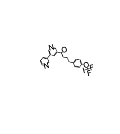 O=C(CCCc1ccc(OC(F)(F)I)cc1)c1cncc(-c2cccnc2)c1